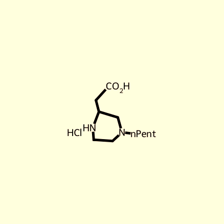 CCCCCN1CCNC(CC(=O)O)C1.Cl